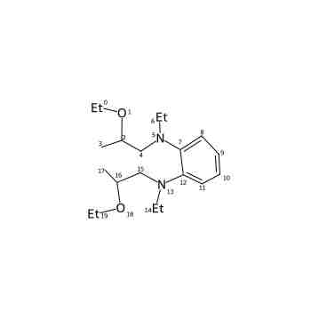 CCOC(C)CN(CC)c1ccccc1N(CC)CC(C)OCC